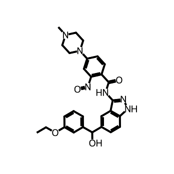 CCOc1cccc(C(O)c2ccc3[nH]nc(NC(=O)c4ccc(N5CCN(C)CC5)cc4N=O)c3c2)c1